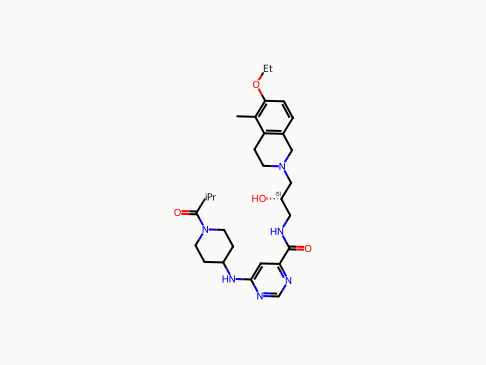 CCOc1ccc2c(c1C)CCN(C[C@@H](O)CNC(=O)c1cc(NC3CCN(C(=O)C(C)C)CC3)ncn1)C2